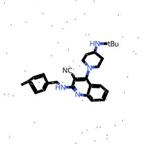 Cc1ccc(CNc2nc3ccccc3c(N3CCC(NC(C)(C)C)CC3)c2C#N)cc1